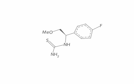 COC[C@H](NC(N)=S)c1ccc(F)cc1